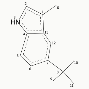 Cc1c[nH]c2ccc(C(C)(C)C)cc12